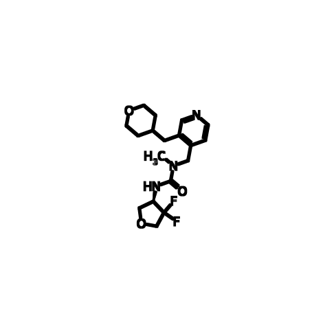 CN(Cc1ccncc1CC1CCOCC1)C(=O)N[C@@H]1COCC1(F)F